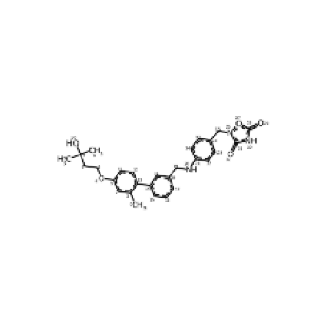 Cc1cc(OCCC(C)(C)O)ccc1-c1cccc(CNc2ccc(Cn3oc(=O)[nH]c3=O)cc2)c1